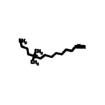 CCCCCCCCCCCCCCCC[N+](C)(C)CCCN